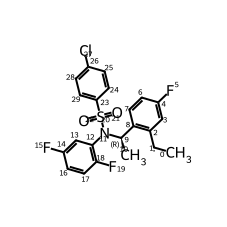 C[CH]c1cc(F)ccc1[C@@H](C)N(c1cc(F)ccc1F)S(=O)(=O)c1ccc(Cl)cc1